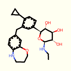 CCN[C@H]1O[C@@H](c2ccc(C3CC3)c(Cc3ccc4c(c3)OCCCN4)c2)[C@H](O)[C@@H](O)[C@@H]1O